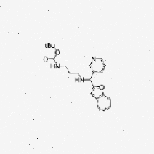 CC(C)(C)OC(=O)NCCCNC(c1cccnc1)c1cc2ccccc2o1